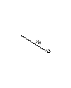 CCCCCCCCCCCCCCCCCCCCCC[n+]1ccccc1.N#C[S-]